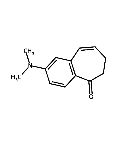 CN(C)c1ccc2c(c1)C=CCCC2=O